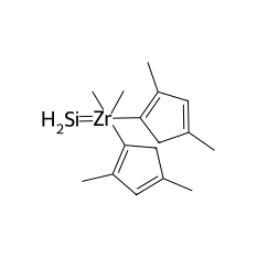 CC1=CC(C)=[C]([Zr]([CH3])([CH3])(=[SiH2])[C]2=C(C)C=C(C)C2)C1